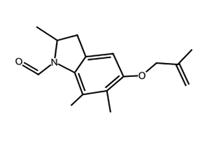 C=C(C)COc1cc2c(c(C)c1C)N(C=O)C(C)C2